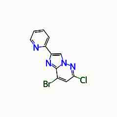 Clc1cc(Br)c2nc(-c3ccccn3)cn2n1